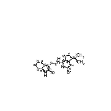 C=C(C)c1cnc2c(NCCn3c(=O)[nH]c4ccccc43)nc(Br)cn12